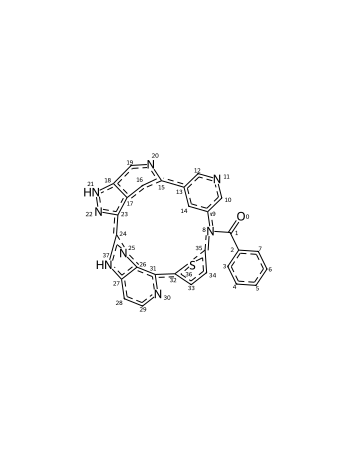 O=C(c1ccccc1)n1c2cncc(c2)c2cc3c(cn2)[nH]nc3c2nc3c(ccnc3c3ccc1s3)[nH]2